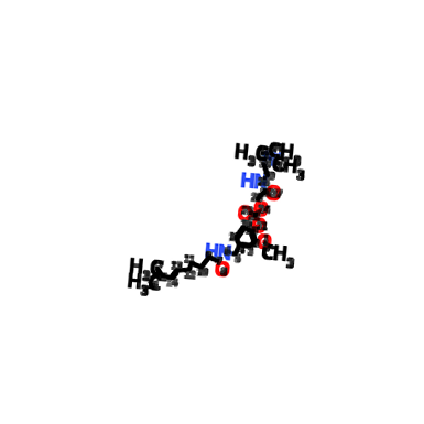 COc1cc(CNC(=O)CCCC/C=C/C(C)C)ccc1OC(=O)OCC(=O)NCC[N+](C)(C)C